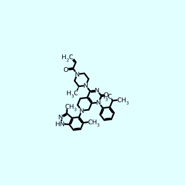 C=CC(=O)N1CCN(c2nc(=O)n(-c3ccccc3C(C)C)c3c2CCN(c2c(C)ccc4[nH]nc(C)c24)C3)[C@@H](C)C1